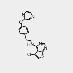 Clc1csc2ncnc(NCCc3ccc(Oc4cnccn4)cc3)c12